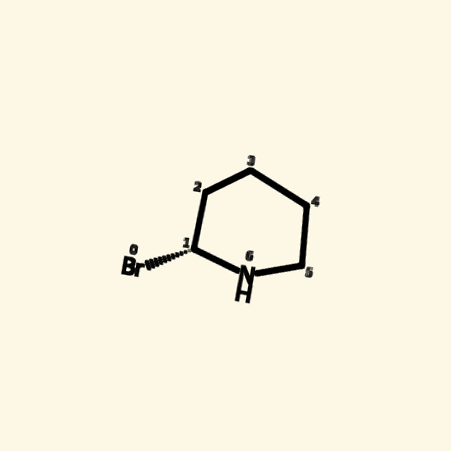 Br[C@@H]1CCCCN1